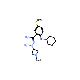 CNSc1ccc(NC2CCCCC2)c(/C(N)=N/N(N)C2CN(SC)C2)c1